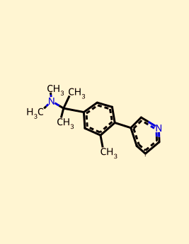 Cc1cc(C(C)(C)N(C)C)ccc1-c1c[c]cnc1